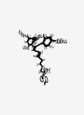 CC(C)(C)c1ccc(C(CCCCCCC[PH]2(O)OCO2)c2ccc(C(C)(C)C)cc2C(C)(C)C)c(C(C)(C)C)c1